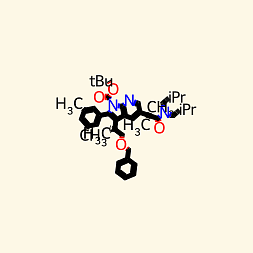 Cc1cc(C)cc(-c2c([C@H](C)COCc3ccccc3)c3cc(C(C)(C)C(=O)N(CC(C)C)CC(C)C)cnc3n2C(=O)OC(C)(C)C)c1